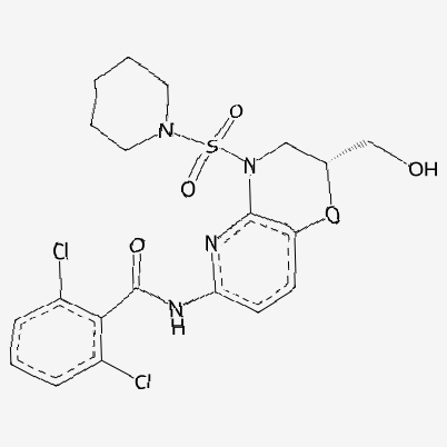 O=C(Nc1ccc2c(n1)N(S(=O)(=O)N1CCCCC1)C[C@H](CO)O2)c1c(Cl)cccc1Cl